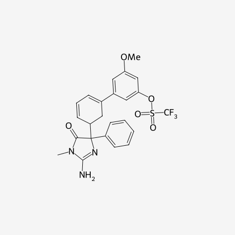 COc1cc(OS(=O)(=O)C(F)(F)F)cc(C2=CC=CC(C3(c4ccccc4)N=C(N)N(C)C3=O)C2)c1